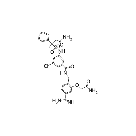 CC(CC(N)=O)(c1ccccc1)S(=O)(=O)Nc1cc(Cl)cc(C(=O)NCc2ccc(C(=N)N)cc2OCC(N)=O)c1